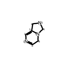 C1=NC=C2C[N]CN2C1